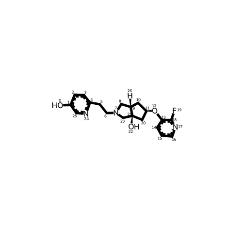 Oc1ccc(CCN2C[C@@H]3C[C@@H](Oc4cccnc4F)C[C@]3(O)C2)nc1